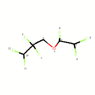 FC(F)C(F)OCC(F)(F)C(F)F